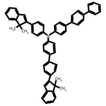 CC1(C)C(c2ccc(-c3ccc(N(c4ccc(C5=Cc6ccccc6C5(C)C)cc4)c4ccc(-c5ccc(-c6ccccc6)cc5)cc4)cc3)cc2)=Cc2ccccc21